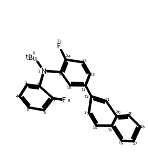 CC(C)(C)N(c1ccccc1F)c1cc(-c2ccc3ccccc3c2)ccc1F